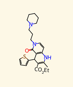 CCOC(=O)C1=C(C)Nc2ccn(CCCN3CCCCC3)c(=O)c2C1c1cccs1